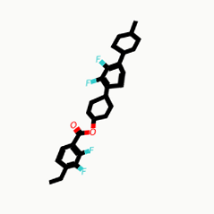 CCc1ccc(C(=O)OC2CCC(c3ccc(C4CCC(C)CC4)c(F)c3F)CC2)c(F)c1F